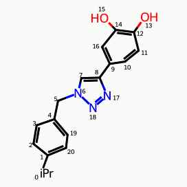 CC(C)c1ccc(Cn2cc(-c3ccc(O)c(O)c3)nn2)cc1